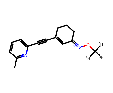 [3H]C([3H])([3H])O/N=C1/C=C(C#Cc2cccc(C)n2)CCC1